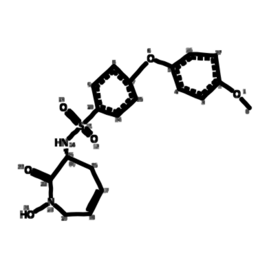 COc1ccc(Oc2ccc(S(=O)(=O)N[C@@H]3CC=CCN(O)C3=O)cc2)cc1